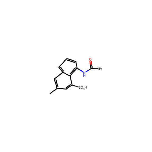 Cc1cc(S(=O)(=O)O)c2c(NC(=O)C(C)C)cccc2c1